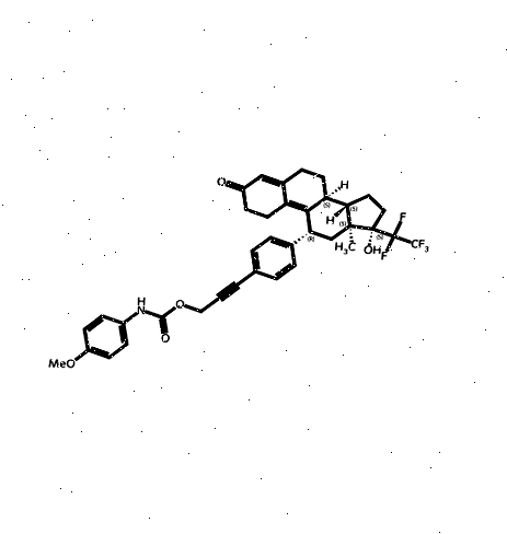 COc1ccc(NC(=O)OCC#Cc2ccc([C@H]3C[C@@]4(C)[C@@H](CC[C@@]4(O)C(F)(F)C(F)(F)F)[C@@H]4CCC5=CC(=O)CCC5=C43)cc2)cc1